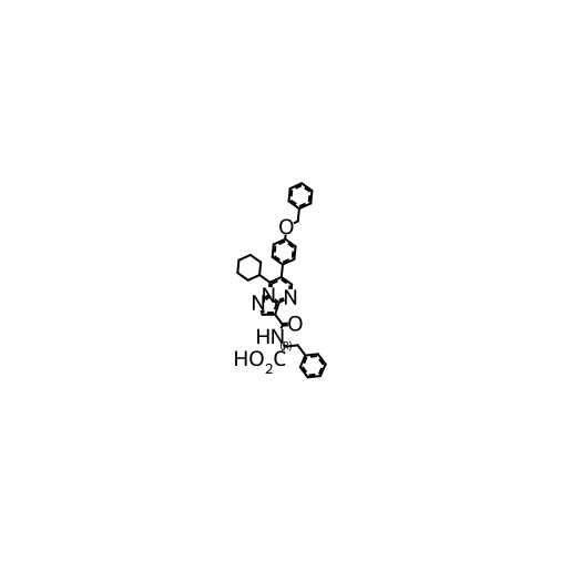 O=C(N[C@H](Cc1ccccc1)C(=O)O)c1cnn2c(C3CCCCC3)c(-c3ccc(OCc4ccccc4)cc3)cnc12